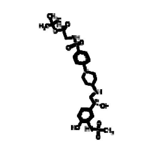 CC(C)(C)OC(=O)CNS(=O)(=O)c1ccc(N2CCC(NC[C@H](O)c3ccc(O)c(NS(C)(=O)=O)c3)CC2)cc1